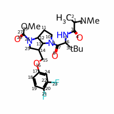 CNC(C)C(=O)NC(C(=O)N1CCC2C1C(COc1ccc(F)c(F)c1)CN2C(=O)OC)C(C)(C)C